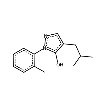 Cc1ccccc1-n1ncc(CC(C)C)c1O